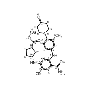 Cc1cc(Nc2nc(N[C@@H]3CCN(C(=O)OC(C)(C)C)C3)c(Cl)nc2C(N)=O)ccc1N1CCC(=O)CC1